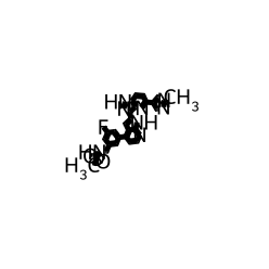 Cn1cc(-c2ccc3[nH]nc(-c4cc5c(-c6cc(F)cc(CNS(C)(=O)=O)c6)ccnc5[nH]4)c3n2)cn1